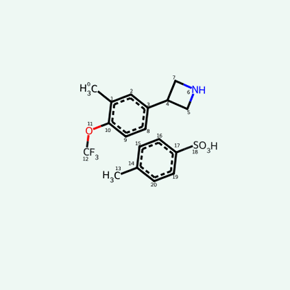 Cc1cc(C2CNC2)ccc1OC(F)(F)F.Cc1ccc(S(=O)(=O)O)cc1